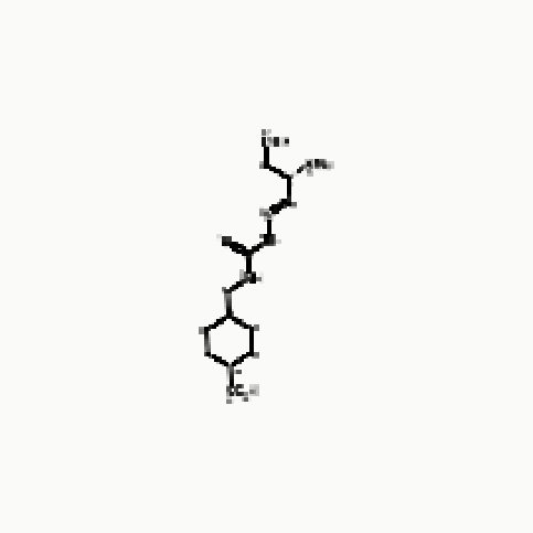 CN[C@H](/C=N/NC(=O)NCC1CCC(C(=O)O)CC1)CC=O